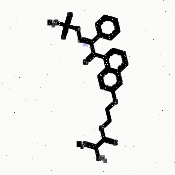 C=C(C)C(=O)OCCOc1ccc2c(C(=O)/C(=N/OS(C)(=O)=O)c3ccccc3)cccc2c1